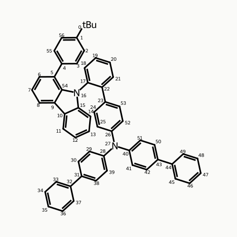 CC(C)(C)c1ccc(-c2cccc3c4ccccc4n(-c4ccccc4-c4ccc(N(c5ccc(-c6ccccc6)cc5)c5ccc(-c6ccccc6)cc5)cc4)c23)cc1